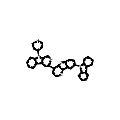 c1ccc2c(c1)c1ccccc1n2-c1ccc2oc3c(-c4cc5c6ccccc6n(-c6ccncc6)c5cn4)ccnc3c2c1